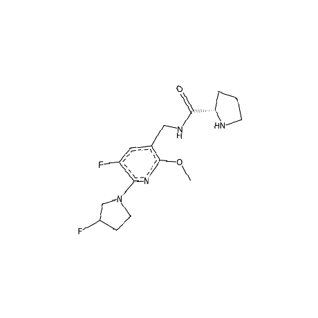 COc1nc(N2CCC(F)C2)c(F)cc1CNC(=O)[C@@H]1CCCN1